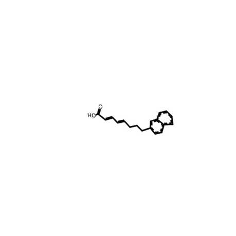 O=C(O)/C=C/C=CCCCc1ccc2ccccc2c1